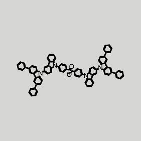 O=S(=O)(c1ccc(-n2c3ccccc3c3cc(-n4c5ccc(-c6ccccc6)cc5c5cc(-c6ccccc6)ccc54)ccc32)cc1)c1ccc(-n2c3ccccc3c3cc(-n4c5ccc(-c6ccccc6)cc5c5cc(-c6ccccc6)ccc54)ccc32)cc1